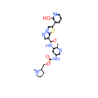 Cc1ncc(NC(=O)OCC2CCCN2C)cc1NC(=O)c1cnn2cc(-c3cccnc3O)sc12